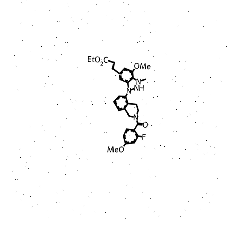 CCOC(=O)CCc1cc(OC)c2c(c1)N(c1cccc3c1CCN(C(=O)c1ccc(OC)cc1F)C3)NN2C